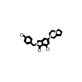 O=C1c2c(Cl)cc(N3CCN4CCC=C4C3)cc2CN1Cc1ccc(Cl)cc1